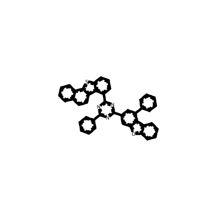 c1ccc(-c2nc(-c3cc(-c4ccccc4)c4c(c3)oc3ccccc34)nc(-c3cccc4sc5c6ccccc6ccc5c34)n2)cc1